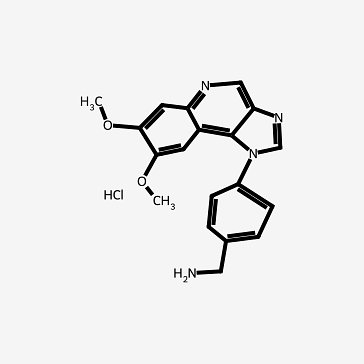 COc1cc2ncc3ncn(-c4ccc(CN)cc4)c3c2cc1OC.Cl